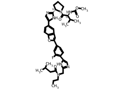 CCCN(Cc1ncc(-c2ccc(-c3cc4cc(-c5cnc([C@@H]6CCCN6C(=O)[C@@H](NC(=O)OC)C(C)C)[nH]5)ccc4o3)cc2F)[nH]1)C(=O)CC(C)C